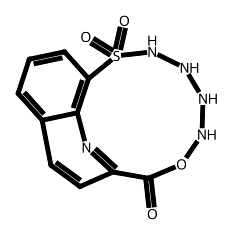 O=C1ONNNNS(=O)(=O)c2cccc3ccc1nc23